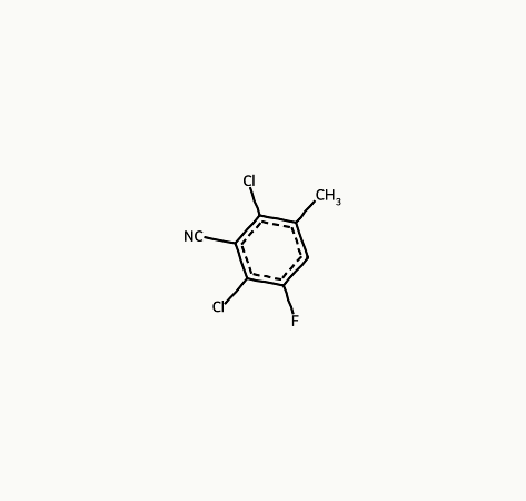 Cc1cc(F)c(Cl)c(C#N)c1Cl